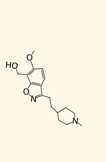 COc1ccc2c(CCC3CCN(C)CC3)noc2c1CO